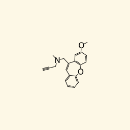 C#CCN(C)CC1=Cc2ccccc2Oc2ccc(OC)cc21